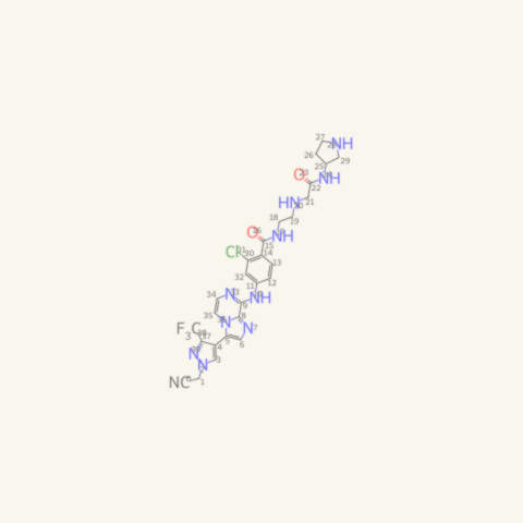 N#CCn1cc(-c2cnc3c(Nc4ccc(C(=O)NCCNCC(=O)NC5CCNC5)c(Cl)c4)nccn23)c(C(F)(F)F)n1